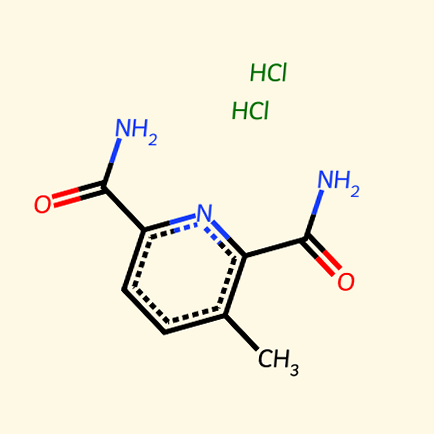 Cc1ccc(C(N)=O)nc1C(N)=O.Cl.Cl